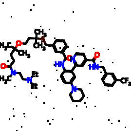 CCN(CC)CCN(C)C(=O)CCC(C)(C)OCCC(C)(C)SCc1cccc(C(=O)Nc2ccc(N3CCCCC3)cc2-c2cc(C(=O)NCc3cccc(C(F)(F)F)c3)ccn2)c1